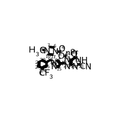 CCCC(OC(=O)N1CCN(C)CC1)n1c(-c2cnn(Cc3cccc(C(F)(F)F)c3)c2)nc2nc(C#N)[nH]c(=O)c21